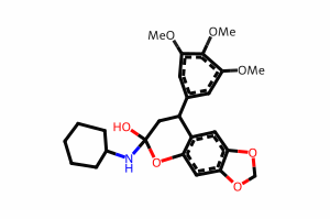 COc1cc(C2CC(O)(NC3CCCCC3)Oc3cc4c(cc32)OCO4)cc(OC)c1OC